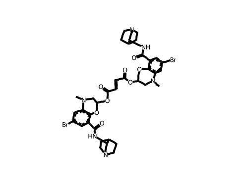 CN1CC(OC(=O)/C=C/C(=O)OC2CN(C)c3cc(Br)cc(C(=O)NC4CN5CCC4CC5)c3O2)Oc2c(C(=O)NC3CN4CCC3CC4)cc(Br)cc21